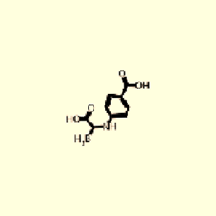 BC(Nc1ccc(C(=O)O)cc1)C(=O)O